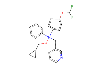 FC(F)Oc1ccc([N+](Cc2cccnc2)(OCC2CC2)c2ccccc2)cc1